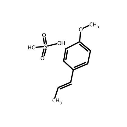 CC=Cc1ccc(OC)cc1.O=S(=O)(O)O